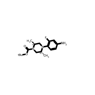 C[C@@H]1CN(C(=O)OC(C)(C)C)[C@@H](C)CN1c1ccc(N)cc1F